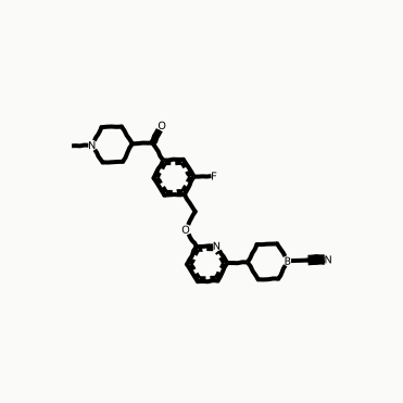 CN1CCC(C(=O)c2ccc(COc3cccc(C4CCB(C#N)CC4)n3)c(F)c2)CC1